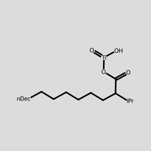 CCCCCCCCCCCCCCCCC(C(=O)[O][Ti](=[O])[OH])C(C)C